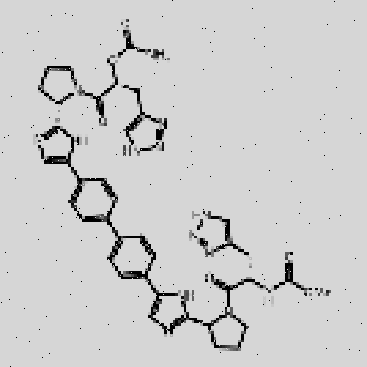 COC(=O)N[C@@H](Cc1c[nH]nn1)C(=O)N1CCCC1c1ncc(-c2ccc(-c3ccc(-c4cnc([C@@H]5CCCN5C(=O)[C@H](Cc5c[nH]nn5)OC(N)=O)[nH]4)cc3)cc2)[nH]1